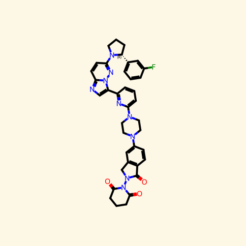 O=C1c2ccc(N3CCN(c4cccc(-c5cnc6ccc(N7CCC[C@@H]7c7cccc(F)c7)nn56)n4)CC3)cc2CN1N1C(=O)CCCC1=O